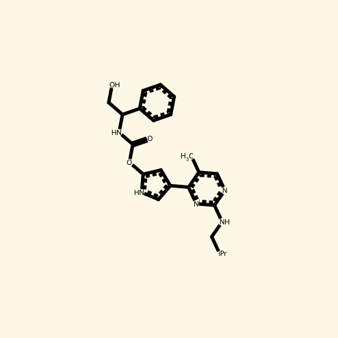 Cc1cnc(NCC(C)C)nc1-c1c[nH]c(OC(=O)NC(CO)c2ccccc2)c1